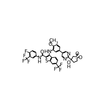 COc1ccc(-c2cnc(C3(O)CCS(=O)(=O)C3)nc2)cc1Nc1c(C(=O)Nc2ccc(F)c(C(F)(F)F)c2)sc2cc(C(F)(F)F)ccc12